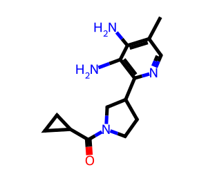 Cc1cnc(C2CCN(C(=O)C3CC3)C2)c(N)c1N